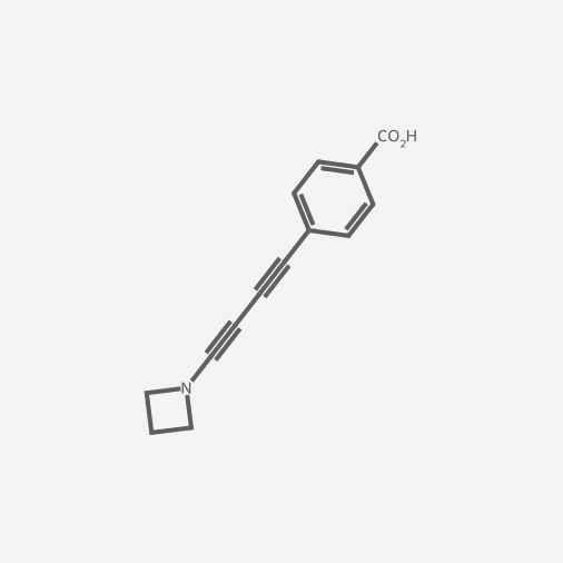 O=C(O)c1ccc(C#CC#CN2CCC2)cc1